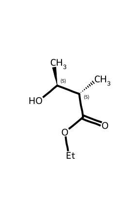 CCOC(=O)[C@@H](C)[C@H](C)O